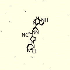 N#CCC(C1CCN(c2ccnc(Cl)n2)C1)n1cc(-c2ncnc3[nH]ccc23)cn1